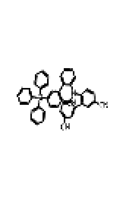 N#Cc1ccc2c(c1)c1cc(C#N)ccc1n2-c1ccccc1-c1cc([Si](c2ccccc2)(c2ccccc2)c2ccccc2)ccc1C#N